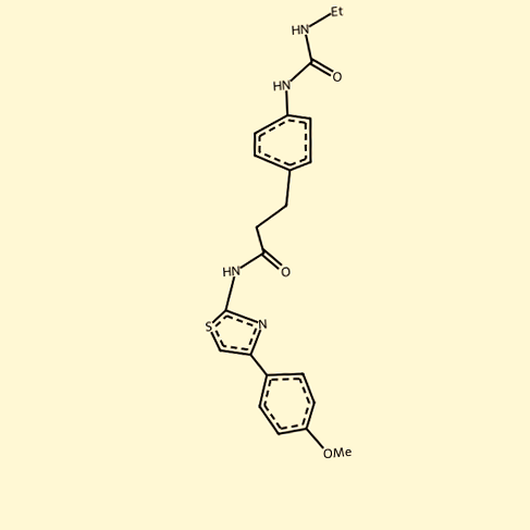 CCNC(=O)Nc1ccc(CCC(=O)Nc2nc(-c3ccc(OC)cc3)cs2)cc1